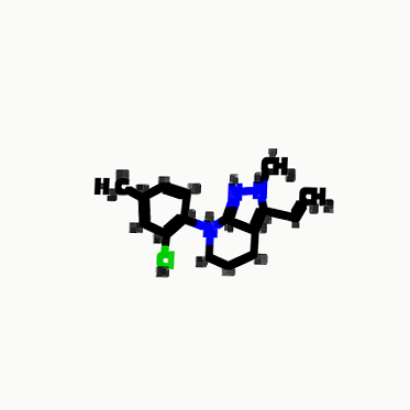 C=Cc1c2c(nn1C)N(c1ccc(C)cc1Cl)CCC2